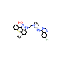 Cc1ccc(NCCN(C)CCNc2ncnc3cc(Cl)ccc23)c2c(=NO)c3ccccc3sc12